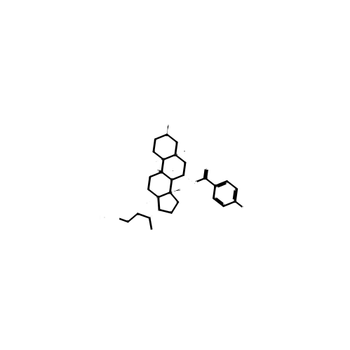 CC(CCC(=O)O)[C@H]1CC[C@H]2[C@@H]3[C@@H](NC(=O)c4ccc(Br)cc4)C[C@@H]4C[C@H](O)CC[C@]4(C)[C@H]3CC[C@]12C